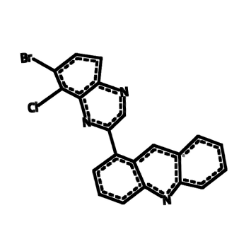 Clc1c(Br)ccc2ncc(-c3cccc4nc5ccccc5cc34)nc12